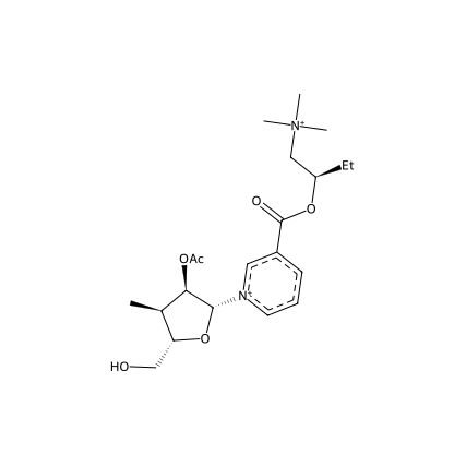 CC[C@H](C[N+](C)(C)C)OC(=O)c1ccc[n+]([C@@H]2O[C@H](CO)[C@@H](C)[C@H]2OC(C)=O)c1